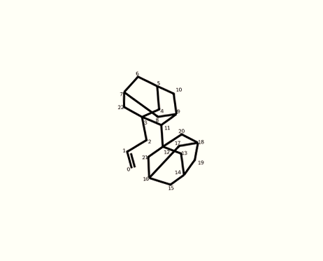 C=CCC12CC3CC(CC(C3)C1C13CC4CC(CC(C4)C1)C3)C2